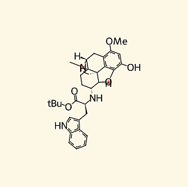 COc1cc(O)c2c3c1C[C@@H]1[C@@H]4CC[C@@H](N[C@@H](Cc5c[nH]c6ccccc56)C(=O)OC(C)(C)C)[C@H](O2)[C@]34CCN1C